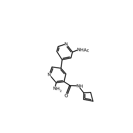 CC(=O)Nc1cc(-c2cnc(N)c(C(=O)NC3=C=CC3)c2)ccn1